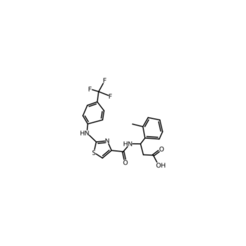 Cc1ccccc1C(CC(=O)O)NC(=O)c1csc(Nc2ccc(C(F)(F)F)cc2)n1